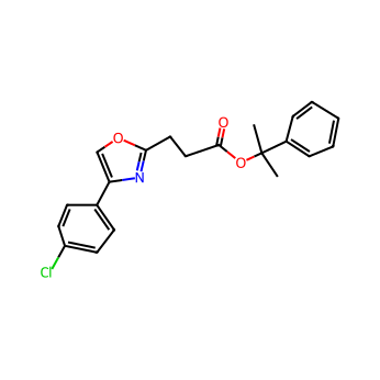 CC(C)(OC(=O)CCc1nc(-c2ccc(Cl)cc2)co1)c1ccccc1